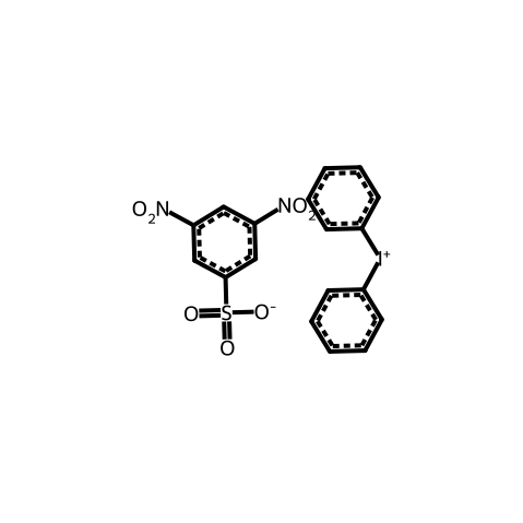 O=[N+]([O-])c1cc([N+](=O)[O-])cc(S(=O)(=O)[O-])c1.c1ccc([I+]c2ccccc2)cc1